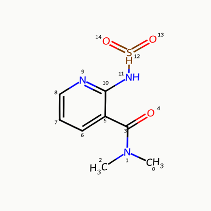 CN(C)C(=O)c1cccnc1N[SH](=O)=O